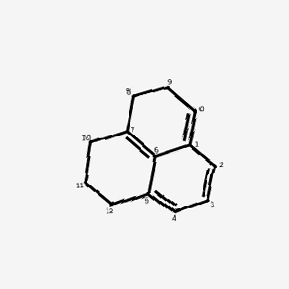 C1=c2cccc3c2=C(CC1)CCC3